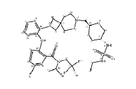 CCNS(=O)(=O)N[C@@H]1CC[C@@H](CN2CCC3(CC2)CN(c2ncnnc2Oc2ccc(F)cc2C(=O)N(CC(F)(F)F)C(C)C)C3)OC1